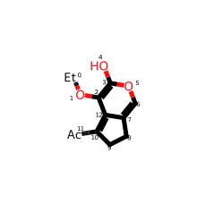 CCOC1=C(O)OC=C2CCC(C(C)=O)=C21